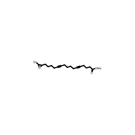 CCC1OC1CCCCC#CCCCCC#CCCCC(=O)OC